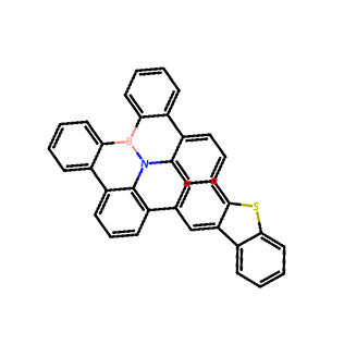 c1ccc2c(c1)B1c3ccccc3-c3cccc(-c4ccc5sc6ccccc6c5c4)c3N1c1ccccc1-2